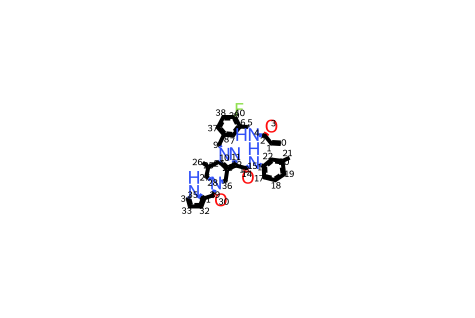 C=CC(=O)NCc1cc(Cn2nc(C(=O)Nc3cccc(C)c3)c3c2C(C)CN(C(=O)c2ccc[nH]2)C3)ccc1F